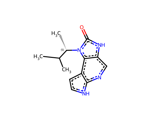 CC(C)[C@H](C)n1c(=O)[nH]c2cnc3[nH]ccc3c21